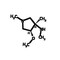 CN[C@]1(C)CN(C)C[C@H]1OC